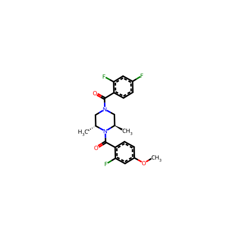 COc1ccc(C(=O)N2[C@H](C)CN(C(=O)c3ccc(F)cc3F)C[C@H]2C)c(F)c1